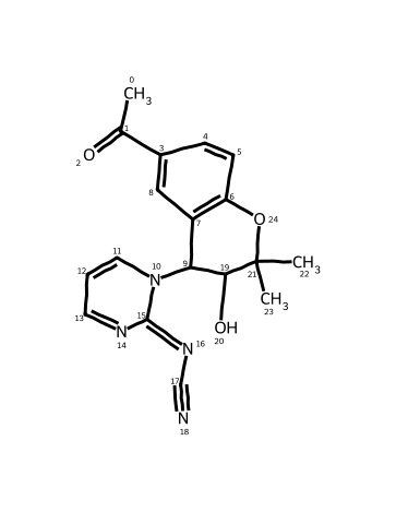 CC(=O)c1ccc2c(c1)C(n1cccnc1=NC#N)C(O)C(C)(C)O2